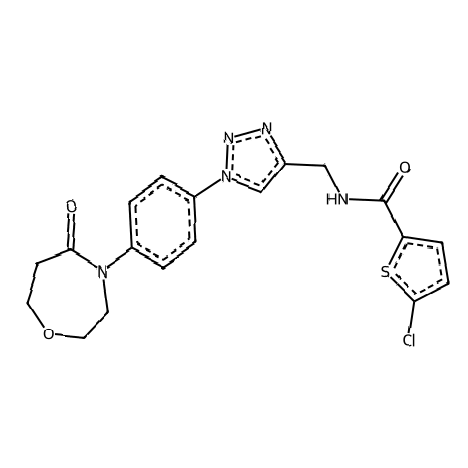 O=C(NCc1cn(-c2ccc(N3CCOCCC3=O)cc2)nn1)c1ccc(Cl)s1